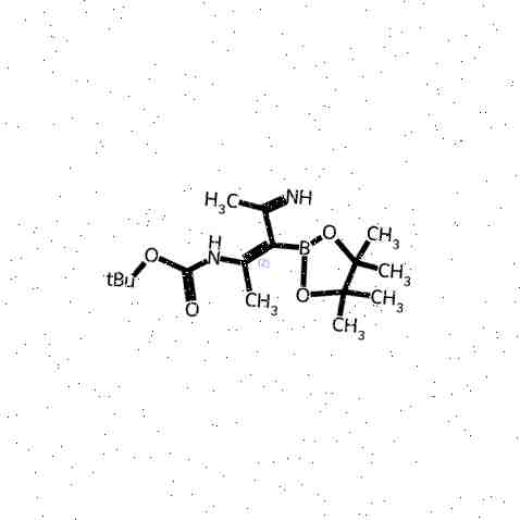 CC(=N)/C(B1OC(C)(C)C(C)(C)O1)=C(/C)NC(=O)OC(C)(C)C